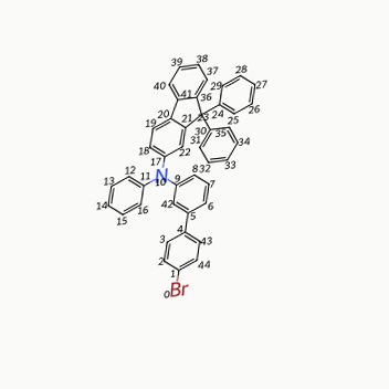 Brc1ccc(-c2cccc(N(c3ccccc3)c3ccc4c(c3)C(c3ccccc3)(c3ccccc3)c3ccccc3-4)c2)cc1